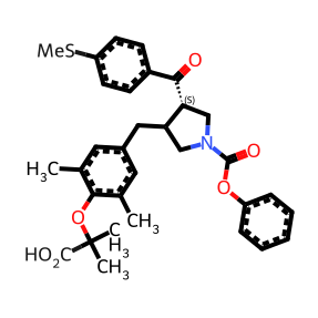 CSc1ccc(C(=O)[C@@H]2CN(C(=O)Oc3ccccc3)CC2Cc2cc(C)c(OC(C)(C)C(=O)O)c(C)c2)cc1